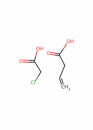 C=CCC(=O)O.O=C(O)CCl